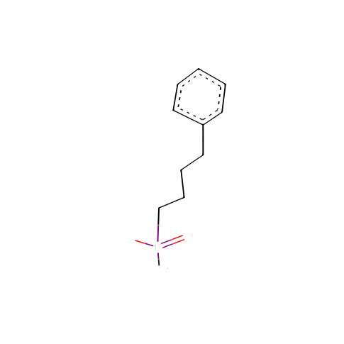 CC(=O)OP(=O)(O)CCCCc1ccccc1